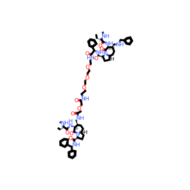 CC[C@H](NC)C(=O)N[C@@H]1C(=O)N2[C@@H](CC[C@@H]1CNC(=O)COCC(=O)NCCOCCOCCOCCNC(=O)[C@@H](NC(=O)[C@@H]1CC[C@@H]3CC[C@H](CNCc4ccccc4)[C@H](NC(=O)[C@H](CC)NC)C(=O)N31)c1ccccc1)CC[C@H]2C(=O)NC(c1ccccc1)c1ccccc1